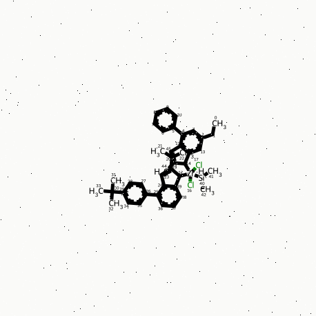 CCc1cc(-c2ccccc2)c2c(c1)[CH]([Zr]([Cl])([Cl])([CH]1C(C(C)C)=Cc3c(-c4ccc(C(C)(C)C)cc4)cccc31)[SiH](C)C)C(C)=C2